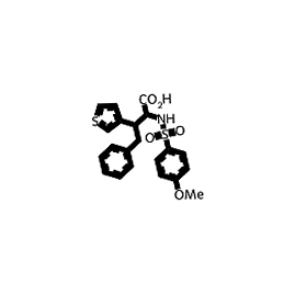 COc1ccc(S(=O)(=O)NC(C(=O)O)C(Cc2ccccc2)c2ccsc2)cc1